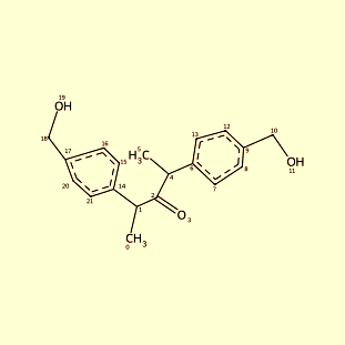 CC(C(=O)C(C)c1ccc(CO)cc1)c1ccc(CO)cc1